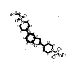 CCCS(=O)(=O)N1CCC(C2Cc3cc(C4=CCN(S(=O)(=O)CC(C)C)CC4)ccc3O2)CC1